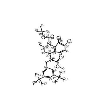 COC(=O)N(Cc1cc(C(F)(F)F)cc(C(F)(F)F)c1)[C@H]1C[C@@H](C)N(C(=O)OC(C)(C)C)c2c1ccc(Cl)c2Cl